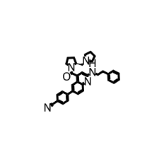 N#Cc1ccc(-c2ccc3nc(NCCc4ccccc4)cc(C(=O)N4CCC[C@H]4CN4CCCC4)c3c2)cc1